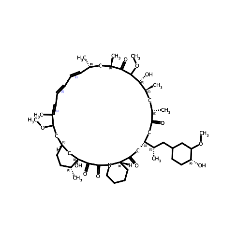 COC1C[C@H]2CC[C@@H](C)[C@@](O)(C2)C(=O)C(=O)N2CCCC[C@H]2C(=O)C[C@@H]([C@@H](C)CC2CC[C@@H](O)C(OC)C2)CC(=O)[C@@H](C)C[C@H](C)[C@@H](O)C(OC)C(=O)[C@H](C)C[C@@H](C)/C=C/C=C/C=C/1C